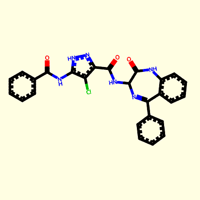 O=C(Nc1[nH]nc(C(=O)NC2N=C(c3ccccc3)c3ccccc3NC2=O)c1Cl)c1ccccc1